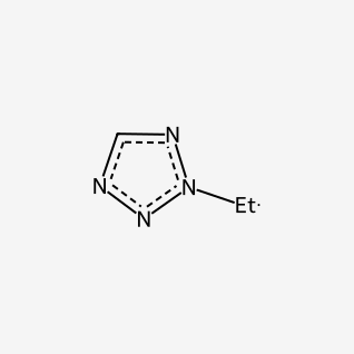 C[CH]n1ncnn1